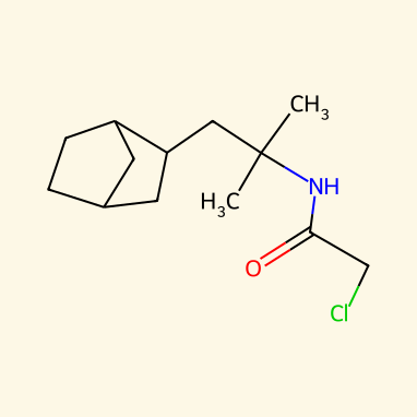 CC(C)(CC1CC2CCC1C2)NC(=O)CCl